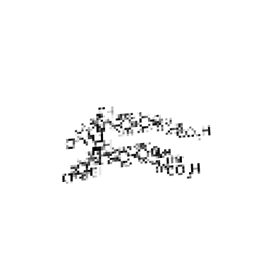 Cn1cc(-c2ccc(Cl)cc2Cl)nc1C=Cc1ccc(-c2ccc(OCCCCC(=O)O)cc2)cc1.Cn1cc(-c2ccc(Cl)cc2Cl)nc1C=Cc1ccc(-c2ccc(Oc3ccc(C(=O)O)c(Br)c3)cc2)cc1